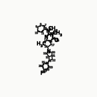 Cc1nc(N(C)c2ccccc2)n(C)c(=O)c1CCN1CC2CC(c3ccc(F)cc3)C2C1